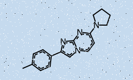 Cc1ccc(-c2cn3ccc(N4CCCC4)nc3n2)cc1